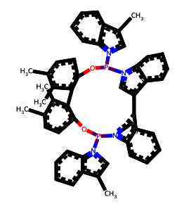 Cc1ccc2c(c1C)-c1c(ccc(C)c1C)OP(n1cc(C)c3ccccc31)n1cc(c3ccccc31)-c1cn(c3ccccc13)P(n1cc(C)c3ccccc31)O2